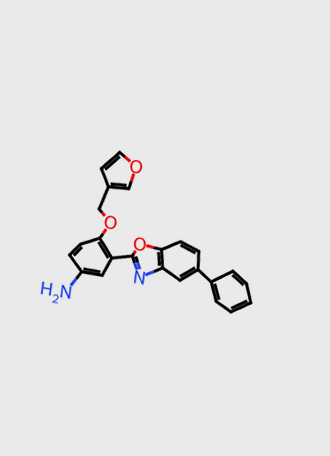 Nc1ccc(OCc2ccoc2)c(-c2nc3cc(-c4ccccc4)ccc3o2)c1